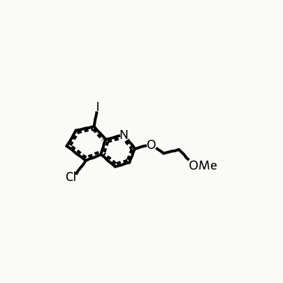 COCCOc1ccc2c(Cl)ccc(I)c2n1